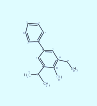 CC(C)c1cc(-c2cc[c]cc2)cc(CN)c1O